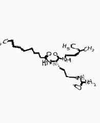 CCCCCCCCCC(=O)N[C@@H](CCCNC(N)=O)C(=O)NCCC(C)C